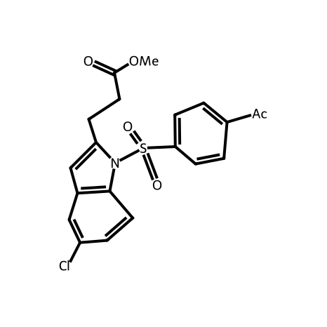 COC(=O)CCc1cc2cc(Cl)ccc2n1S(=O)(=O)c1ccc(C(C)=O)cc1